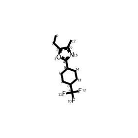 CCc1oc(C2CCC(C(F)(F)F)CC2)nc1C